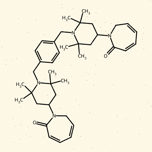 CC1(C)CC(N2CC=CC=CC2=O)CC(C)(C)N1Cc1ccc(CN2C(C)(C)CC(N3CC=CC=CC3=O)CC2(C)C)cc1